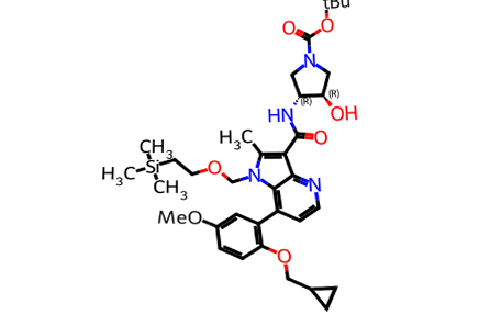 COc1ccc(OCC2CC2)c(-c2ccnc3c(C(=O)N[C@@H]4CN(C(=O)OC(C)(C)C)C[C@H]4O)c(C)n(COCC[Si](C)(C)C)c23)c1